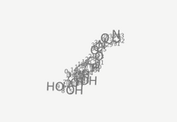 C[C@@H]1C[C@H](C(O)C(C)(C)O)O[C@H]2C1[C@@]1(C)CC[C@@]34CC35CCC(OC3CN(C(=O)Cc6cccnc6)CCO3)C(C)(C)[C@@H]5CC[C@H]4[C@]1(C)[C@H]2O